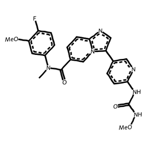 CONC(=O)Nc1ccc(-c2cnc3ccc(C(=O)N(C)c4ccc(F)c(OC)c4)cn23)cn1